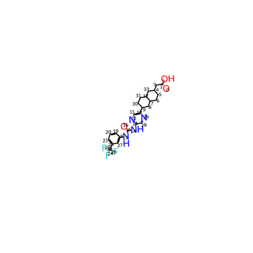 O=C(O)CC1CCC2CC(c3cnc(NC(=O)Nc4cccc(C(F)(F)F)c4)cn3)CCC2C1